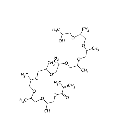 C=C(C)C(=O)OCC(C)OCC(C)OCC(C)OCC(C)OCC(C)OCC(C)OCC(C)OCC(C)OCC(C)O